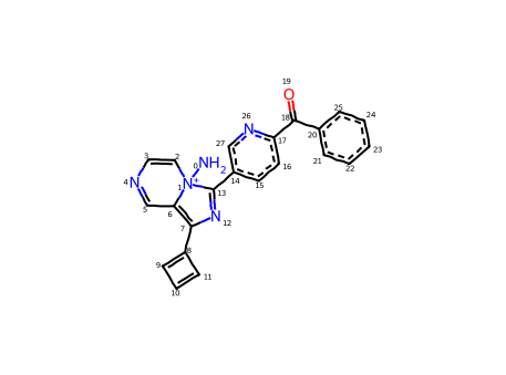 N[N+]12C=CN=CC1=C(C1=CC=C1)N=C2c1ccc(C(=O)c2ccccc2)nc1